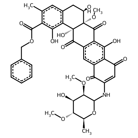 CO[C@@H]1[C@@H](O)[C@@H](OC)C(NC2=CC(=O)c3c(cc4c(c3O)C(=O)[C@]3(OC)[C@H](O)Cc5cc(C)c(C(=O)OCc6ccccc6)c(O)c5[C@]3(O)C4=O)C2=O)O[C@H]1C